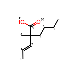 CC=CC(C)(CCCC)C(=O)O